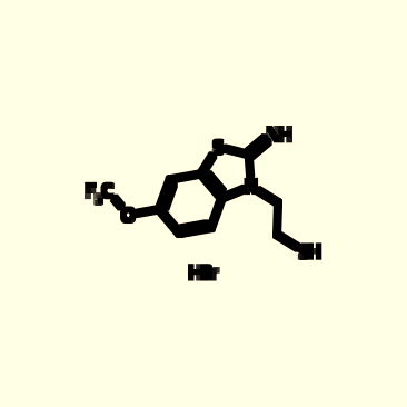 Br.N=c1sc2cc(OC(F)(F)F)ccc2n1CCS